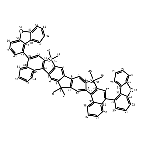 CC1(C)c2cc3c(cc2-c2cc4c(cc21)-c1c(cc(-c2cccc5oc6ccccc6c25)c2ccccc12)[Si]4(C)C)[Si](C)(C)c1cc(-c2cccc4oc5ccccc5c24)c2ccccc2c1-3